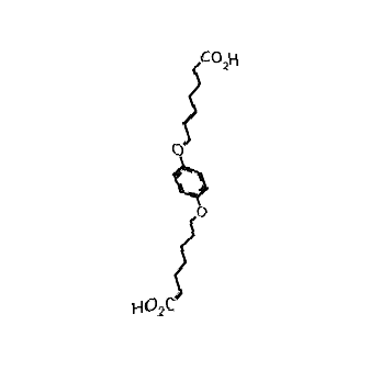 O=C(O)CCCCCCOc1ccc(OCCCCCCC(=O)O)cc1